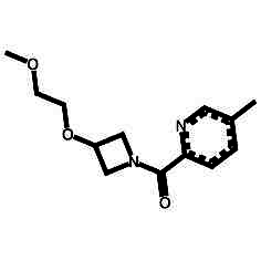 COCCOC1CN(C(=O)c2ccc(C)cn2)C1